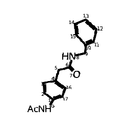 CC(=O)Nc1ccc(CC(=O)NCc2ccccc2)cc1